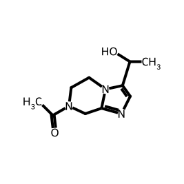 CC(=O)N1CCn2c(C(C)O)cnc2C1